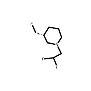 FC[C@@H]1CCCN(CC(F)F)C1